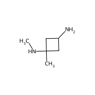 CNC1(C)CC(N)C1